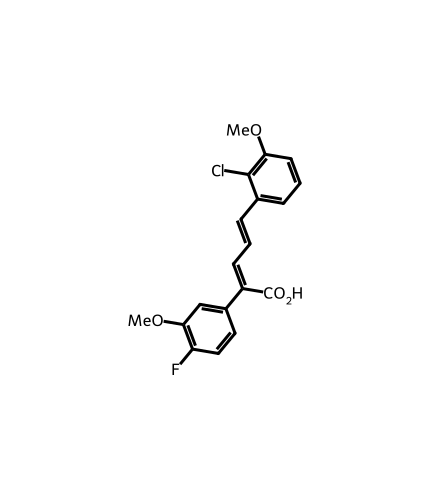 COc1cc(C(=C/C=C/c2cccc(OC)c2Cl)C(=O)O)ccc1F